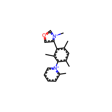 Cc1cc(C)c(-[n+]2ccccc2C)c(C)c1-c1coc[n+]1C